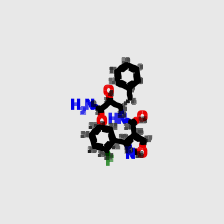 NC(=O)C(=O)[C@H](Cc1ccccc1)NC(=O)c1conc1-c1ccccc1F